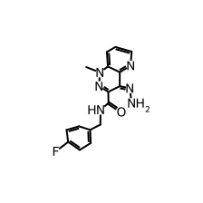 Cn1nc(C(=O)NCc2ccc(F)cc2)c(=NN)c2ncccc21